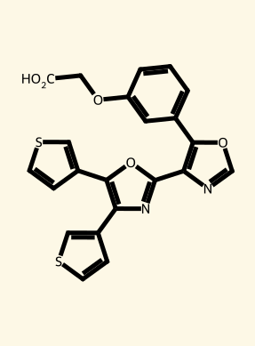 O=C(O)COc1cccc(-c2ocnc2-c2nc(-c3ccsc3)c(-c3ccsc3)o2)c1